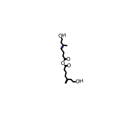 C=C(CCO)CCCC(=O)OC(=O)CC/C=C(\C)CCO